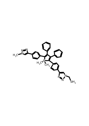 Cn1cc(-c2ccc(C3=C(c4ccccc4)C(c4ccccc4)=C(c4ccc(-c5cn(C[SiH3])nn5)cc4)[Si]3(C)C)cc2)nn1